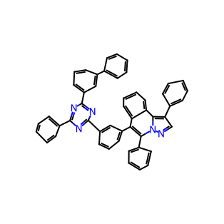 c1ccc(-c2cccc(-c3nc(-c4ccccc4)nc(-c4cccc(-c5c(-c6ccccc6)n6ncc(-c7ccccc7)c6c6ccccc56)c4)n3)c2)cc1